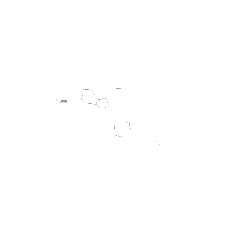 COC(=O)c1c(N(c2ccc(OC)c(C3CCN(C(=O)OC(C)(C)C)CC3)c2F)C(C)C)[nH]c2cc(C#N)ccc12